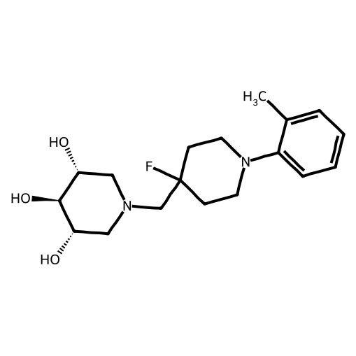 Cc1ccccc1N1CCC(F)(CN2C[C@@H](O)[C@H](O)[C@@H](O)C2)CC1